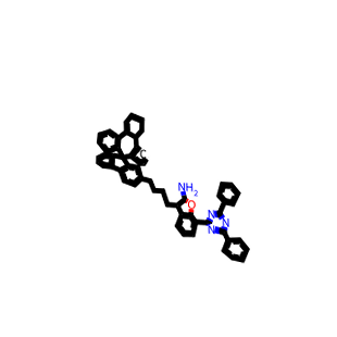 NC1Oc2c(-c3nc(-c4ccccc4)nc(-c4ccccc4)n3)cccc2C1CCCCc1ccc2c(c1)C1(c3ccccc3C3=CC=CCC3c3ccccc31)c1ccccc1-2